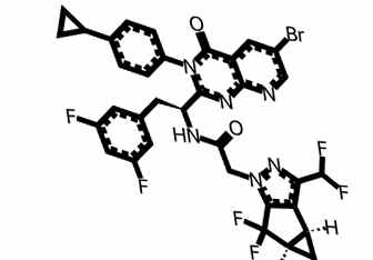 O=C(Cn1nc(C(F)F)c2c1C(F)(F)[C@@H]1C[C@H]21)N[C@@H](Cc1cc(F)cc(F)c1)c1nc2ncc(Br)cc2c(=O)n1-c1ccc(C2CC2)cc1